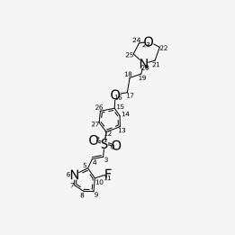 O=S(=O)(C=Cc1ncccc1F)c1ccc(OCCCN2CCOCC2)cc1